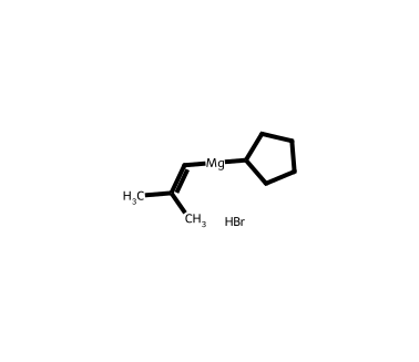 Br.CC(C)=[CH][Mg][CH]1CCCC1